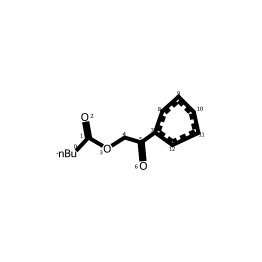 CCC[CH]C(=O)OCC(=O)c1ccccc1